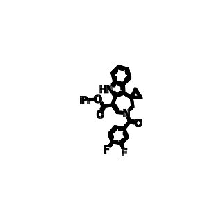 CC(C)OC(=O)C1=CN(C(=O)c2ccc(F)c(F)c2)CC2(CC2)c2c1[nH]c1ccccc21